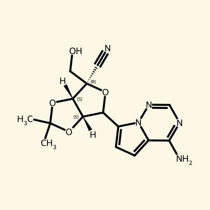 CC1(C)O[C@H]2C(c3ccc4c(N)ncnn34)O[C@](C#N)(CO)[C@H]2O1